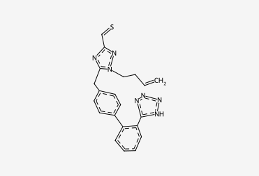 C=CCCn1nc(C=S)nc1Cc1ccc(-c2ccccc2-c2nnn[nH]2)cc1